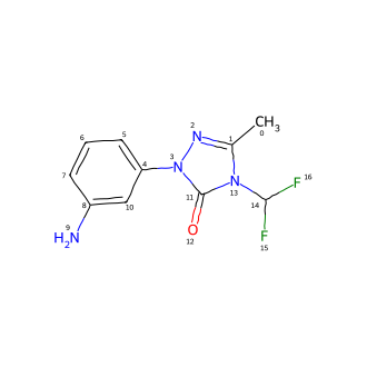 Cc1nn(-c2cccc(N)c2)c(=O)n1C(F)F